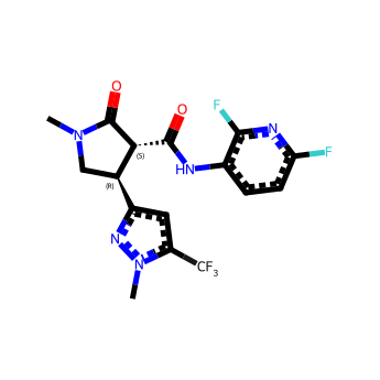 CN1C[C@H](c2cc(C(F)(F)F)n(C)n2)[C@@H](C(=O)Nc2ccc(F)nc2F)C1=O